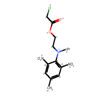 CCCN(CCOC(=O)CCl)c1c([N+](=O)[O-])cc(C)cc1[N+](=O)[O-]